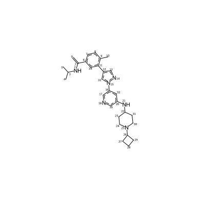 C=C(NC(C)C)c1ccc(C)c(-c2cnn(-c3cncc(NC4CCN(C5CCC5)CC4)c3)c2)c1